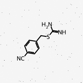 N#Cc1ccc(CSC(=N)N)cc1